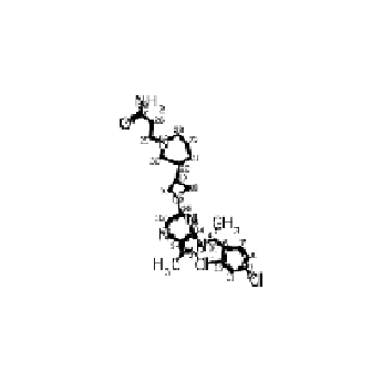 Cc1nn([C@H](C)c2ccc(Cl)cc2Cl)c2nc(N3CC(C4CCCN(CCC(N)=O)C4)C3)cnc12